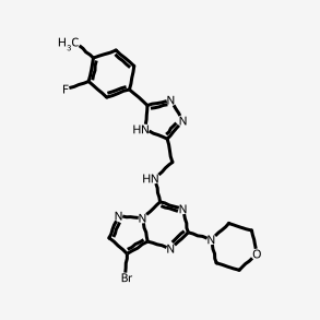 Cc1ccc(-c2nnc(CNc3nc(N4CCOCC4)nc4c(Br)cnn34)[nH]2)cc1F